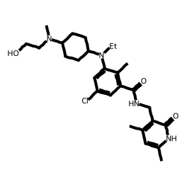 CCN(c1cc(Cl)cc(C(=O)NCc2c(C)cc(C)[nH]c2=O)c1C)C1CCC(N(C)CCO)CC1